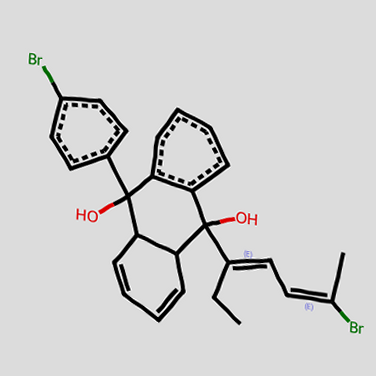 CC/C(=C\C=C(/C)Br)C1(O)c2ccccc2C(O)(c2ccc(Br)cc2)C2C=CC=CC21